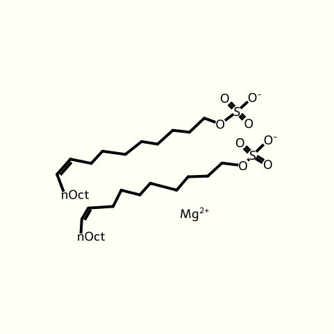 CCCCCCCC/C=C\CCCCCCCCOS(=O)(=O)[O-].CCCCCCCC/C=C\CCCCCCCCOS(=O)(=O)[O-].[Mg+2]